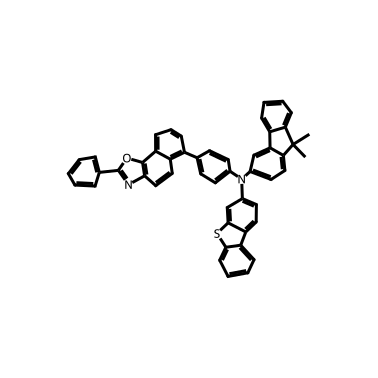 CC1(C)c2ccccc2-c2cc(N(c3ccc(-c4cccc5c4ccc4nc(-c6ccccc6)oc45)cc3)c3ccc4c(c3)sc3ccccc34)ccc21